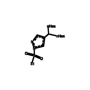 CCCCCCC(CCCCCC)c1cnn(S(=O)(=O)CC)c1